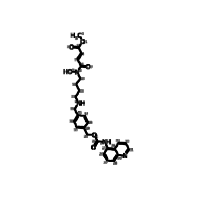 COC(=O)/C=C/C(=O)N(O)CCCCNCc1ccc(COC(=O)Nc2cccc3ncccc23)cc1